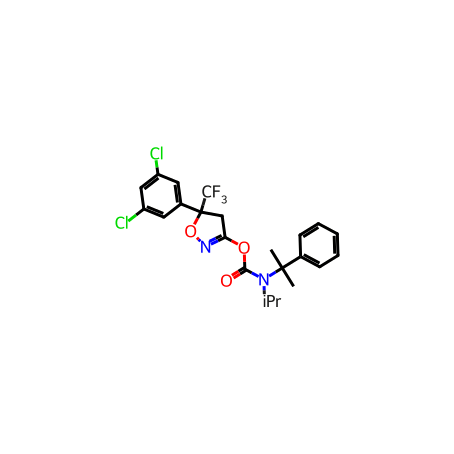 CC(C)N(C(=O)OC1=NOC(c2cc(Cl)cc(Cl)c2)(C(F)(F)F)C1)C(C)(C)c1ccccc1